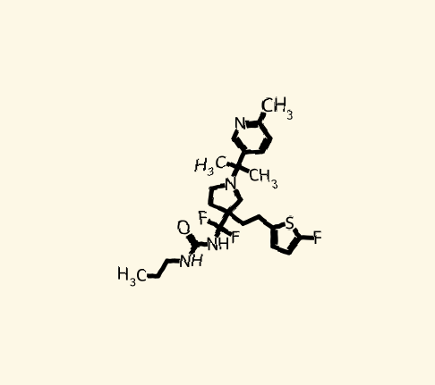 CCCNC(=O)NC(F)(F)C1(CCc2ccc(F)s2)CCN(C(C)(C)c2ccc(C)nc2)C1